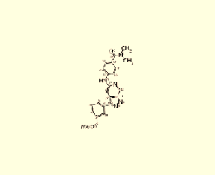 COCc1cccc(-n2nnc3cnc(Nc4ccc(C(=O)N(C)C)cc4)nc32)c1